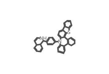 C1=CC2C=CNC(c3ccc(N4c5ccccc5C5=C(C=CCC5)c5c4ccc4c5sc5ccccc54)cc3)C2C=C1